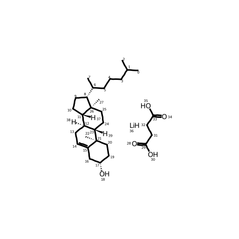 CC(C)CCCC(C)[C@H]1CC[C@H]2[C@@H]3CC=C4C[C@@H](O)CC[C@]4(C)[C@H]3CC[C@]12C.O=C(O)CCC(=O)O.[LiH]